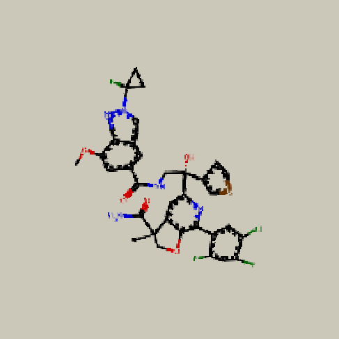 COc1cc(C(=O)NC[C@@](O)(c2ccsc2)c2cc3c(c(-c4cc(Cl)c(F)cc4F)n2)OC[C@]3(C)C(N)=O)cc2cn(C3(F)CC3)nc12